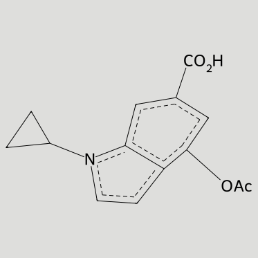 CC(=O)Oc1cc(C(=O)O)cc2c1ccn2C1CC1